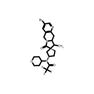 CC1C2Cc3ncc(Br)cc3CN2C(=O)[C@]12CC[C@@H](N(C(=O)C(F)(F)F)C1CCOCC1)C2